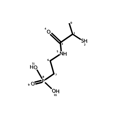 CC(S)C(=O)NCCP(=O)(O)O